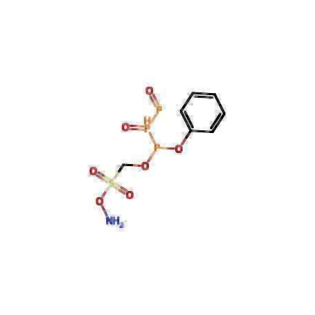 NOS(=O)(=O)COP(Oc1ccccc1)[PH](=O)P=O